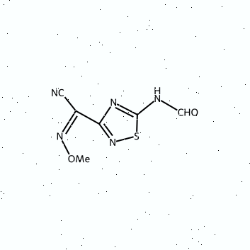 CO/N=C(/C#N)c1nsc(NC=O)n1